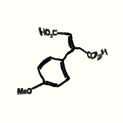 COc1ccc(/C(=C\C(=O)O)C(=O)O)cc1